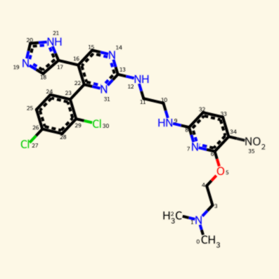 CN(C)CCOc1nc(NCCNc2ncc(-c3cnc[nH]3)c(-c3ccc(Cl)cc3Cl)n2)ccc1[N+](=O)[O-]